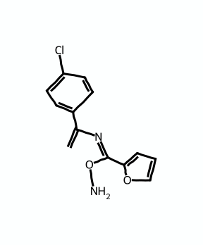 C=C(/N=C(\ON)c1ccco1)c1ccc(Cl)cc1